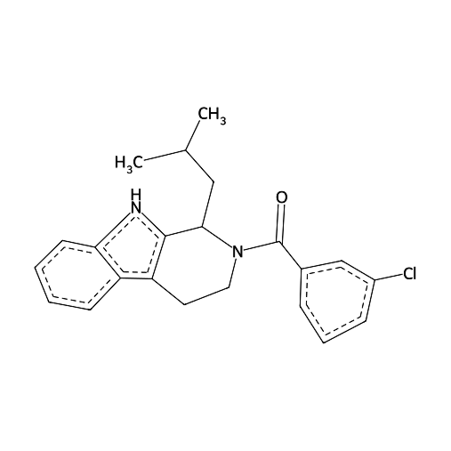 CC(C)CC1c2[nH]c3ccccc3c2CCN1C(=O)c1cccc(Cl)c1